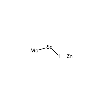 [Mo][Se]I.[Zn]